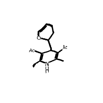 CC(=O)C1=C(C)NC(C)=C(C(C)=O)C1C1CCC=CO1